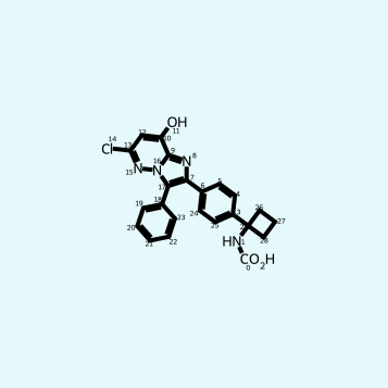 O=C(O)NC1(c2ccc(-c3nc4c(O)cc(Cl)nn4c3-c3ccccc3)cc2)CCC1